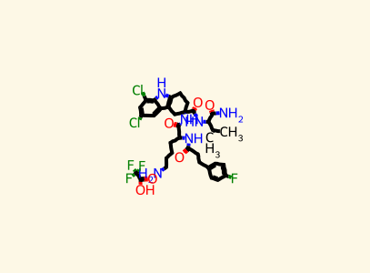 CC(C)C(NC(=O)C1(NC(=O)C(CCCCN)NC(=O)CCc2ccc(F)cc2)CCc2[nH]c3c(Cl)cc(Cl)cc3c2C1)C(N)=O.O=C(O)C(F)(F)F